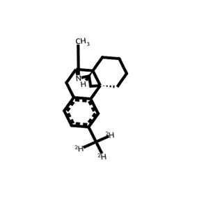 [2H]C([2H])([2H])c1ccc2c(c1)[C@]13CCCC[C@H]1C(C2)N(C)CC3